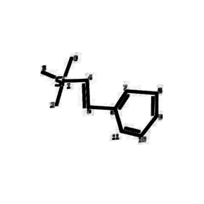 C[Si](C)(C)C=Cc1ccccc1